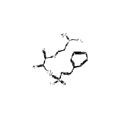 C=C(C)C(=O)OCCN(C)C.O=S(=O)(O)C=Cc1ccccc1